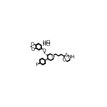 Cl.Cl.Fc1ccc([C@@H]2CCN(CCCC3OCCNS3)C[C@H]2COc2ccc3c(c2)OCO3)cc1